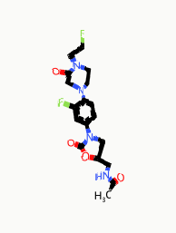 CC(=O)NCC1CN(c2ccc(N3CCN(CCF)C(=O)C3)c(F)c2)C(=O)O1